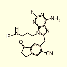 CC(C)NCCCn1c(Cc2cc3c(cc2C#N)CCC3=O)nc2c(N)nc(F)nc21